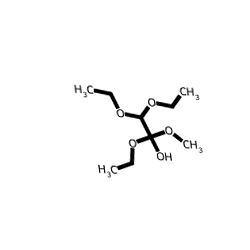 CCOC(OCC)C(O)(OC)OCC